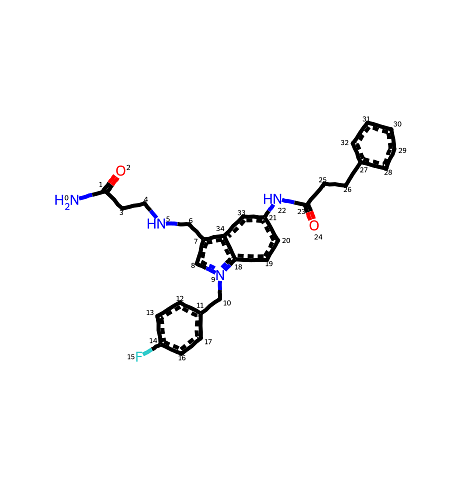 NC(=O)CCNCc1cn(Cc2ccc(F)cc2)c2ccc(NC(=O)[CH]Cc3ccccc3)cc12